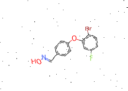 ON=Cc1ccc(Oc2cc(F)ccc2Br)cc1